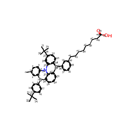 Cc1ccc2c(c1)B(c1ccc(C(C)(C)C)cc1)c1cccc3c1N2c1cc(C(C)(C)C)ccc1B3c1cccc(CCCCCCCCC(=O)O)c1